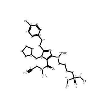 C#CCN(C)C(=O)c1c(N(C=O)CCCCP(=O)(OCC)OCC)nc(CCc2ccc(Br)cc2)n1CC1CCCC1